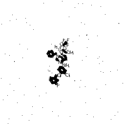 CC(CO)(OC(=O)C(F)(F)F)OS1=C2C(=C(Nc3ccc(OCc4cccc(F)c4)c(Cl)c3)N=CN2Cc2ccccc2)C=C1